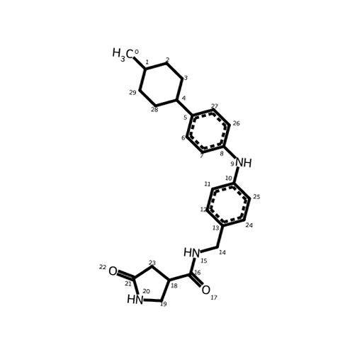 CC1CCC(c2ccc(Nc3ccc(CNC(=O)C4CNC(=O)C4)cc3)cc2)CC1